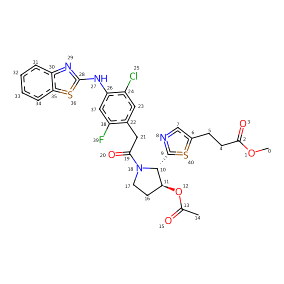 COC(=O)CCc1cnc([C@@H]2[C@@H](OC(C)=O)CCN2C(=O)Cc2cc(Cl)c(Nc3nc4ccccc4s3)cc2F)s1